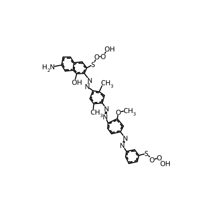 COc1cc(N=Nc2cccc(SOOO)c2)ccc1N=Nc1cc(C)c(N=Nc2c(SOOO)cc3ccc(N)cc3c2O)cc1C